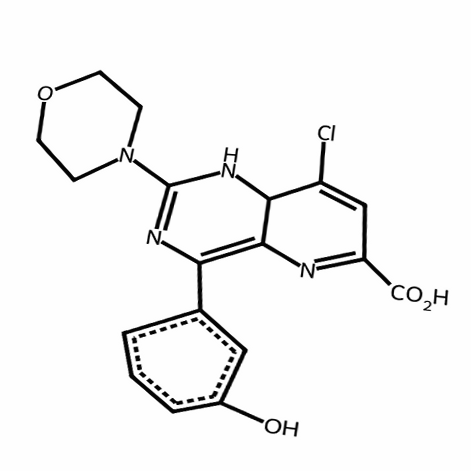 O=C(O)C1=NC2=C(c3cccc(O)c3)N=C(N3CCOCC3)NC2C(Cl)=C1